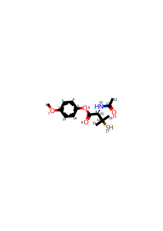 COc1ccc(OC(=O)[C@H](NC(C)=O)C(C)(C)S)cc1